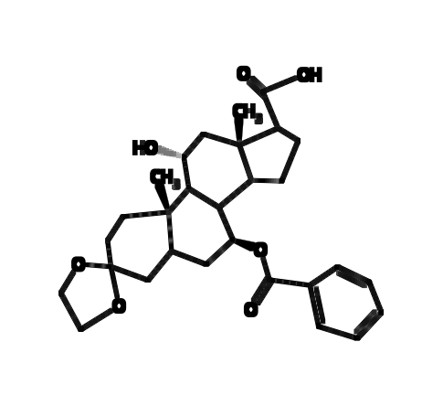 C[C@]12CCC3(CC1C[C@H](OC(=O)c1ccccc1)C1C4CCC(C(=O)O)[C@@]4(C)C[C@@H](O)C12)OCCO3